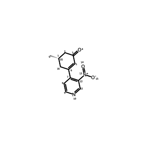 C[C@@H]1CC(=O)C=C(c2ccncc2[N+](=O)[O-])C1